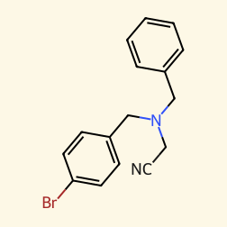 N#CCN(Cc1ccccc1)Cc1ccc(Br)cc1